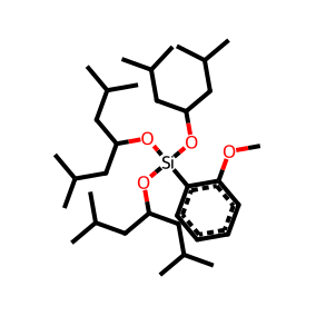 COc1ccccc1[Si](OC(CC(C)C)CC(C)C)(OC(CC(C)C)CC(C)C)OC(CC(C)C)CC(C)C